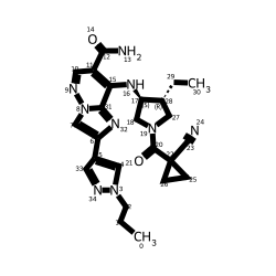 CCCn1cc(-c2cn3ncc(C(N)=O)c(N[C@@H]4CN(C(=O)C5(C#N)CC5)C[C@H]4CC)c3n2)cn1